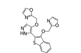 [c]1n[nH]c(-c2sc3ccccc3c2OCc2ncco2)c1OCc1ncco1